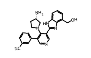 N#Cc1cccc(-c2cncc(-c3nc4c(CO)cccc4[nH]3)c2N2CC[C@H](N)C2)c1